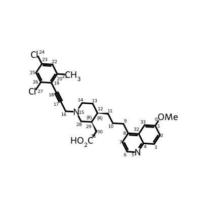 COc1ccc2nccc(CCC[C@@H]3CCN(CC#Cc4c(C)cc(Cl)cc4Cl)C[C@@H]3CC(=O)O)c2c1